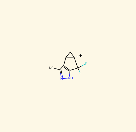 N#Cc1n[nH]c2c1C1C[C@H]1C2(F)F